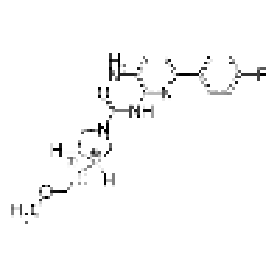 COC[C@@H]1[C@H]2CN(C(=O)Nc3nc(-c4ccc(F)cc4)ccc3N)C[C@@H]12